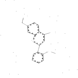 COc1ccccc1-c1cc(O)c2ccc(CO)cc2n1